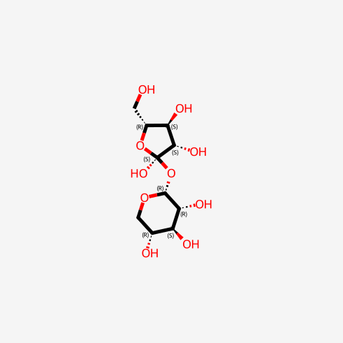 OC[C@H]1O[C@](O)(O[C@H]2OC[C@@H](O)[C@H](O)[C@H]2O)[C@@H](O)[C@@H]1O